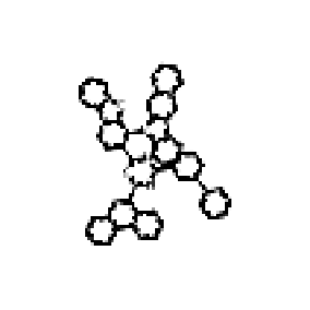 c1ccc(-c2cccc(-c3nc(-c4ccc5c(oc6ccccc65)c4-n4c5ccccc5c5cc6ccccc6cc54)nc(-c4cc5ccccc5c5ccccc45)n3)c2)cc1